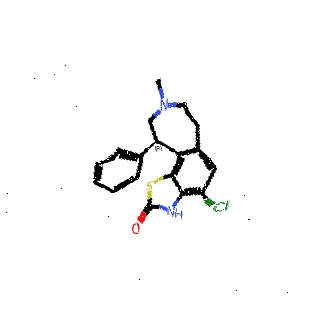 CN1CCc2cc(Cl)c3[nH]c(=O)sc3c2[C@@H](c2ccccc2)C1